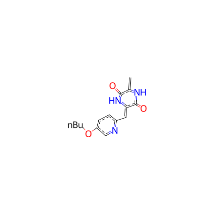 C=c1[nH]c(=O)c(=Cc2ccc(OCCCC)cn2)[nH]c1=O